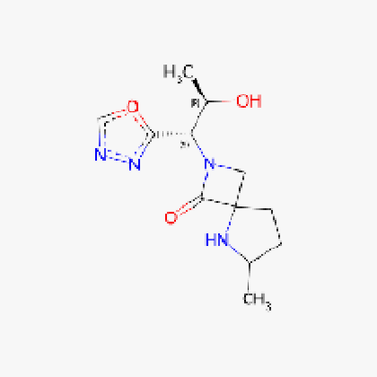 CC1CCC2(CN([C@H](c3nnco3)[C@@H](C)O)C2=O)N1